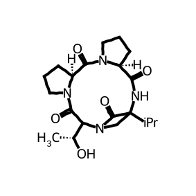 CC(C)C12CN(C1=O)C([C@@H](C)O)C(=O)N1CCC[C@H]1C(=O)N1CCC[C@H]1C(=O)N2